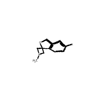 CN1CC2(C1)OCc1cc(I)ccc12